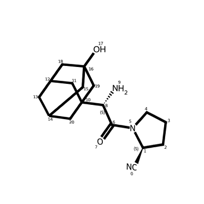 N#C[C@@H]1CCCN1C(=O)[C@@H](N)C12CC3CC(CC(O)(C3)C1)C2